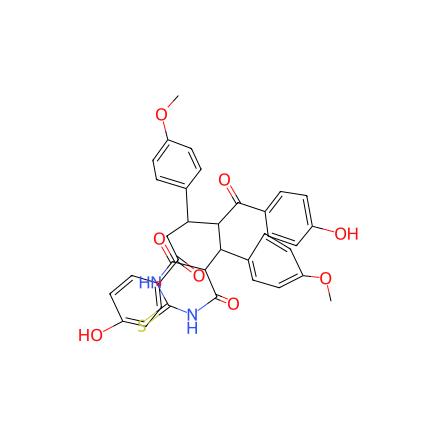 COc1ccc(C(CC(=O)c2ccc(O)cc2)C(C(=O)c2ccc(O)cc2)C(c2ccc(OC)cc2)C2C(=O)NC(=S)NC2=O)cc1